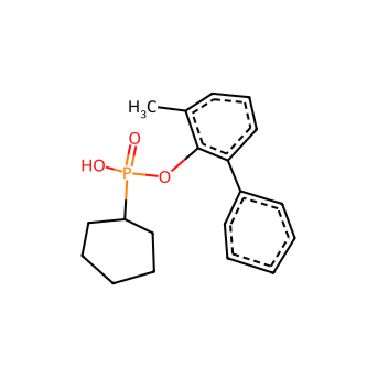 Cc1cccc(-c2ccccc2)c1OP(=O)(O)C1CCCCC1